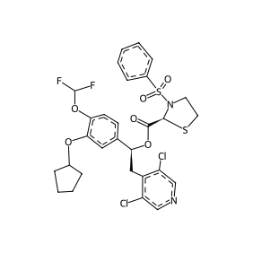 O=C(O[C@@H](Cc1c(Cl)cncc1Cl)c1ccc(OC(F)F)c(OC2CCCC2)c1)[C@@H]1SCCN1S(=O)(=O)c1ccccc1